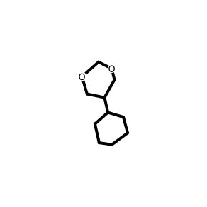 C1CCC(C2COCOC2)CC1